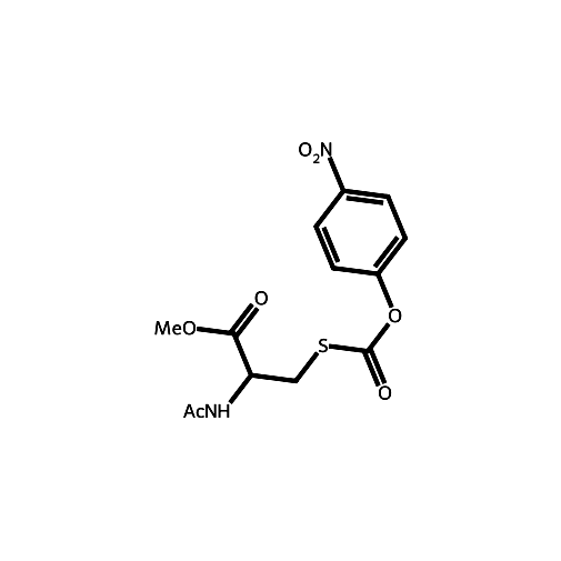 COC(=O)C(CSC(=O)Oc1ccc([N+](=O)[O-])cc1)NC(C)=O